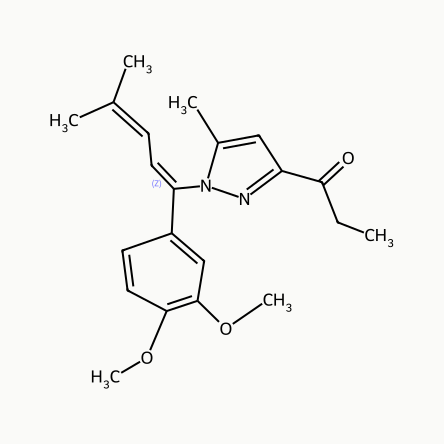 CCC(=O)c1cc(C)n(/C(=C\C=C(C)C)c2ccc(OC)c(OC)c2)n1